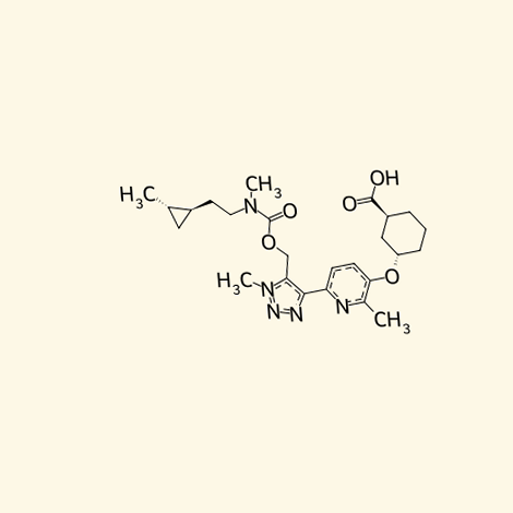 Cc1nc(-c2nnn(C)c2COC(=O)N(C)CC[C@H]2C[C@@H]2C)ccc1O[C@H]1CCC[C@H](C(=O)O)C1